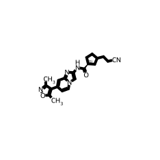 Cc1noc(C)c1-c1ccn2cc(NC(=O)[C@H]3CCC(CCC#N)C3)nc2c1